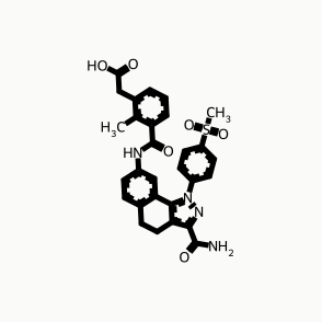 Cc1c(CC(=O)O)cccc1C(=O)Nc1ccc2c(c1)-c1c(c(C(N)=O)nn1-c1ccc(S(C)(=O)=O)cc1)CC2